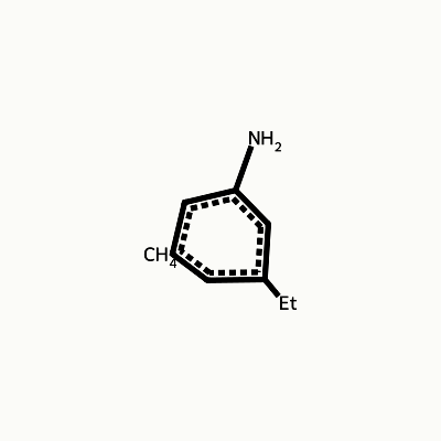 C.CCc1cccc(N)c1